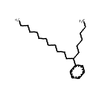 CCCCCCCCCCCCC(CCCCCC)c1ccccc1